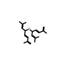 C=C(C)C=CC(C=C(C)C)OC(C=CC(=C)C)C=C(C)C